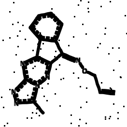 C=CCON=C1c2ccccc2-c2nc3nnc(C)n3nc21